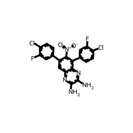 Nc1nc2cc(-c3ccc(Cl)c(F)c3)c([N+](=O)[O-])c(-c3ccc(Cl)c(F)c3)c2nc1N